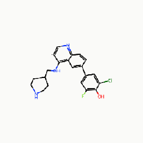 Oc1c(F)cc(-c2ccc3nc[c]c(NCC4CCNCC4)c3c2)cc1Cl